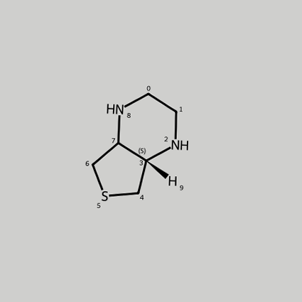 C1CN[C@@H]2CSCC2N1